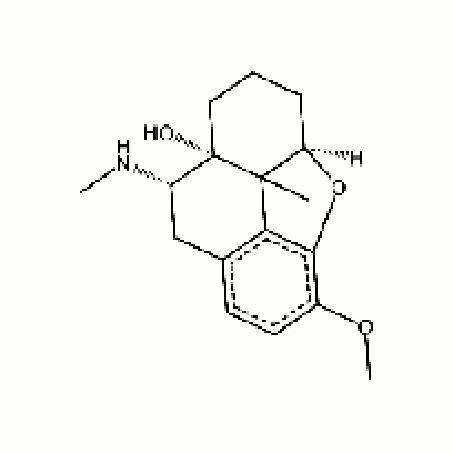 CN[C@H]1Cc2ccc(OC)c3c2C2(C)[C@@H](CCC[C@]12O)O3